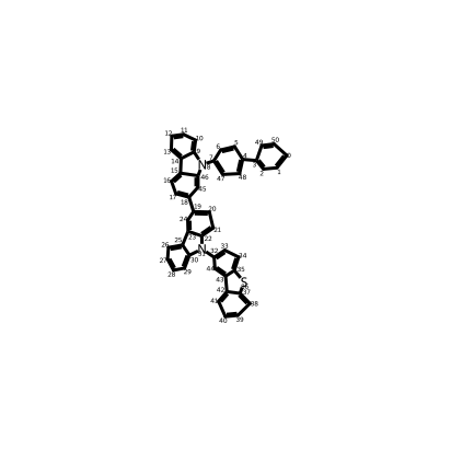 c1ccc(-c2ccc(-n3c4ccccc4c4ccc(-c5ccc6c(c5)c5ccccc5n6-c5ccc6sc7ccccc7c6c5)cc43)cc2)cc1